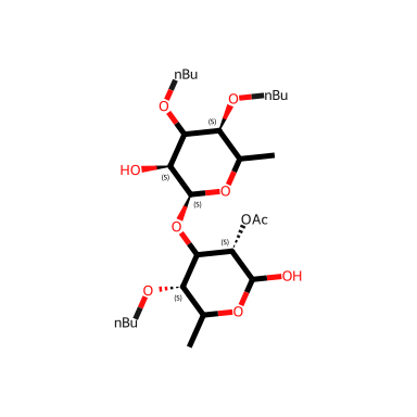 CCCCOC1[C@@H](OCCCC)C(C)O[C@@H](OC2[C@H](OC(C)=O)C(O)OC(C)[C@@H]2OCCCC)[C@H]1O